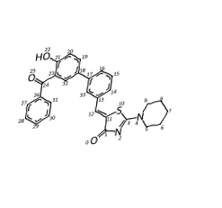 O=C1N=C(N2CCCCC2)SC1=Cc1cccc(-c2ccc(O)c(C(=O)c3ccccc3)c2)c1